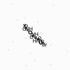 CC(C)(C)OC(=O)NCc1ccc(NC(=O)C23CC(C(=O)Nc4ccc(Br)nn4)(C2)C3)cc1